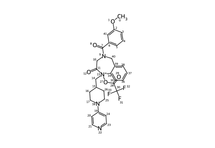 COc1cccc(C(=O)N2CC(=O)[N+](CC3CCN(c4ccncc4)CC3)(OC(=O)C(F)(F)F)c3ccccc3C2)c1